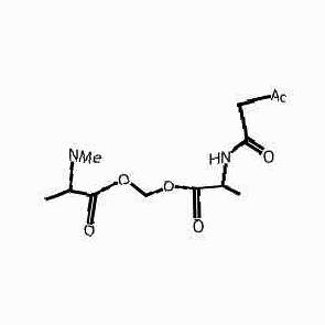 CNC(C)C(=O)OCOC(=O)C(C)NC(=O)CC(C)=O